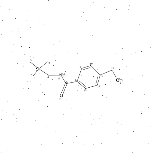 C[Si](C)(C)CNC(=O)c1ccc(CO)cc1